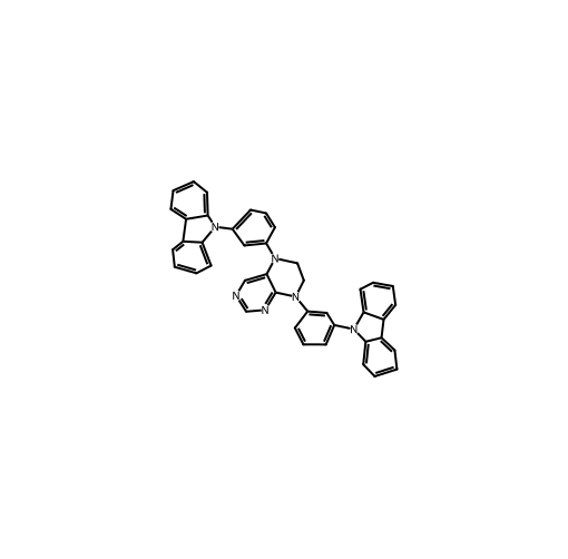 c1cc(N2CCN(c3cccc(-n4c5ccccc5c5ccccc54)c3)c3ncncc32)cc(-n2c3ccccc3c3ccccc32)c1